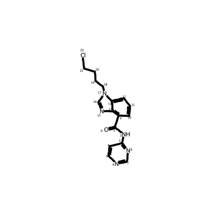 O=C(Nc1ccncn1)c1cccc2c1ncn2CCCCCl